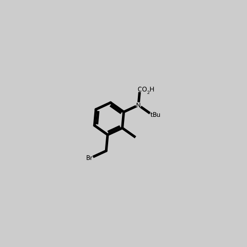 Cc1c(CBr)cccc1N(C(=O)O)C(C)(C)C